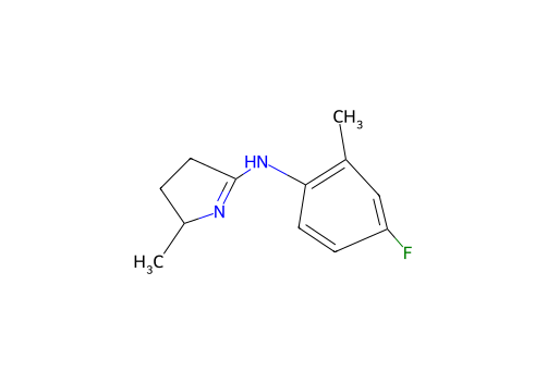 Cc1cc(F)ccc1NC1=NC(C)CC1